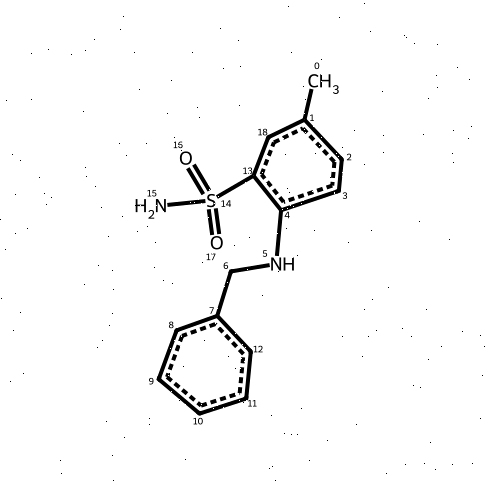 Cc1ccc(NCc2ccccc2)c(S(N)(=O)=O)c1